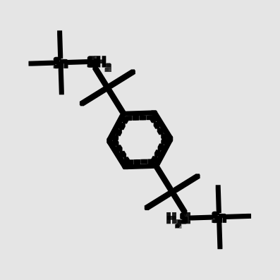 CC(C)([SiH2][Sn]([CH3])([CH3])[CH3])c1ccc(C(C)(C)[SiH2][Sn]([CH3])([CH3])[CH3])cc1